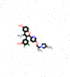 CC1=C(c2cc(O)c(F)c(F)c2)C(c2ccc(OC[C@H](C)N3CC[C@@H](C)C3)cn2)Oc2ccc(O)cc21